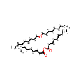 CCCCCCCC(=O)OC(=O)CCCCCCC.CCCCCCCCOCCCCCCCC